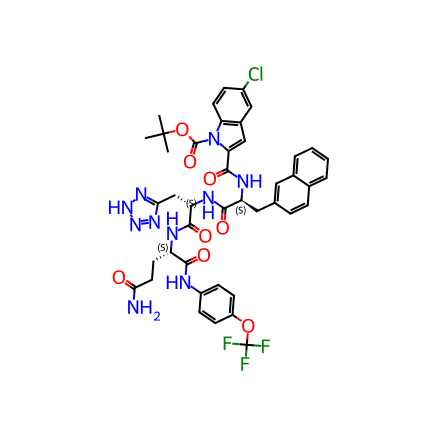 CC(C)(C)OC(=O)n1c(C(=O)N[C@@H](Cc2ccc3ccccc3c2)C(=O)N[C@@H](Cc2nn[nH]n2)C(=O)N[C@@H](CCC(N)=O)C(=O)Nc2ccc(OC(F)(F)F)cc2)cc2cc(Cl)ccc21